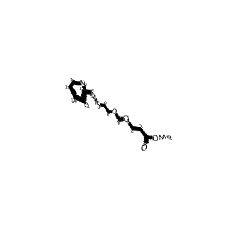 COC(=O)CCOCOCCSSc1ccccn1